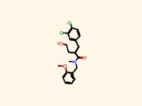 COc1ccccc1CN(C)C(=O)C(CCO)Cc1ccc(Cl)c(Cl)c1